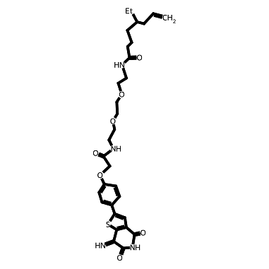 C=CCC(CC)CCCC(=O)NCCOCCOCCNC(=O)COc1ccc(-c2cc3c(s2)C(=N)C(=O)NC3=O)cc1